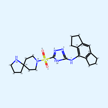 O=S(=O)(c1nnc(Nc2c3c(cc4c2CCC4)CCC3)[nH]1)N1CCC2(CCCN2)CC1